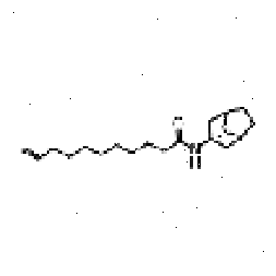 C=CCCCCCCCCC(=O)NC1CC2CCC(C1)N2C